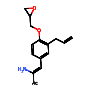 C=CCc1cc(C=C(N)C(C)=O)ccc1OCC1CO1